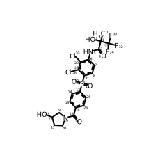 CC(O)(C(=O)Nc1ccc(S(=O)(=O)c2ccc(C(=O)N3CCC(O)C3)cc2)c(Cl)c1Cl)C(F)(F)F